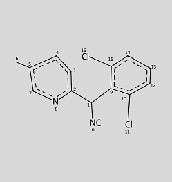 [C-]#[N+]C(c1ccc(C)cn1)c1c(Cl)cccc1Cl